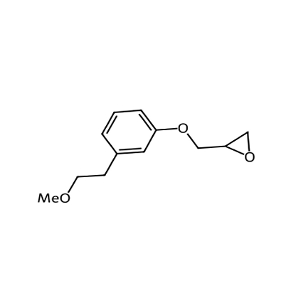 COCCc1cccc(OCC2CO2)c1